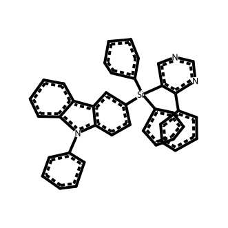 c1ccc(-c2ncncc2[Si](c2ccccc2)(c2ccccc2)c2ccc3c(c2)c2ccccc2n3-c2ccccc2)cc1